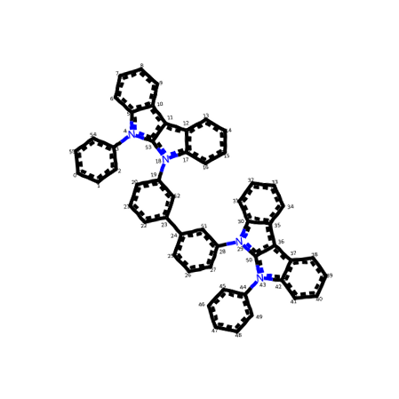 c1ccc(-n2c3ccccc3c3c4ccccc4n(-c4cccc(-c5cccc(-n6c7ccccc7c7c8ccccc8n(-c8ccccc8)c76)c5)c4)c32)cc1